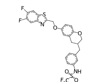 O=S(=O)(Nc1cccc(CC2COc3ccc(OCc4nc5cc(F)c(F)cc5s4)cc3C2)c1)C(F)(F)F